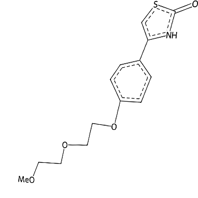 COCCOCCOc1ccc(-c2csc(=O)[nH]2)cc1